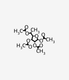 CC(=O)O[C@@H]1O[C@H]([C@H](C)OC(C)=O)[C@@H](OC(C)=O)[C@H]1OC(C)=O